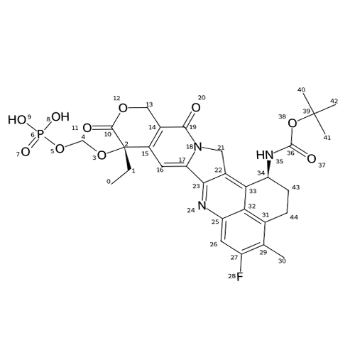 CC[C@@]1(OCOP(=O)(O)O)C(=O)OCc2c1cc1n(c2=O)Cc2c-1nc1cc(F)c(C)c3c1c2[C@@H](NC(=O)OC(C)(C)C)CC3